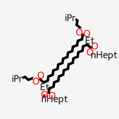 CCC(CCCCCCCCCCCCCCCC(=O)OCCCC(C)C)C(=O)OCCCC(C)C.CCCCCCCOC(=O)CCCCCCCCCCCCCCCC(CC)C(=O)OCCCCCCC